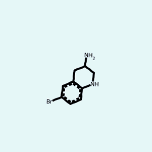 NC1CNc2ccc(Br)cc2C1